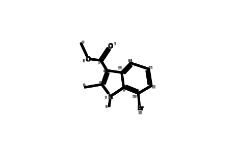 COC(=O)c1c(C)n(C)c2c(Br)cccc12